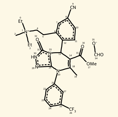 CC[N+](C)(CC)CCc1cc(C#N)ccc1C1C(C(=O)OC)=C(C)N(c2cccc(C(F)(F)F)c2)c2n[nH]c(=O)n21.O=C[O-]